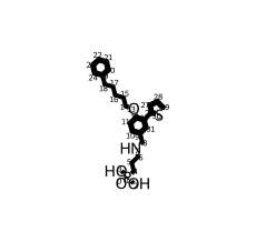 O=P(O)(O)CCCNCc1ccc(OCCCCCc2ccccc2)c(-c2cccs2)c1